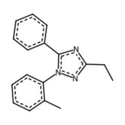 CCc1nc(-c2ccccc2)n(-c2ccccc2C)n1